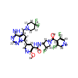 COc1ncc(-c2cc(CN3CCC(F)(F)CC3)c3c(N)ncnn23)cc1C(=O)N[C@@H]1CN(C(=O)c2c(F)cncc2F)C[C@@H]1F